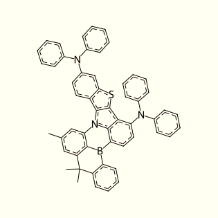 Cc1cc2c3c(c1)C(C)(C)c1ccccc1B3c1ccc(N(c3ccccc3)c3ccccc3)c3c4sc5cc(N(c6ccccc6)c6ccccc6)ccc5c4n-2c13